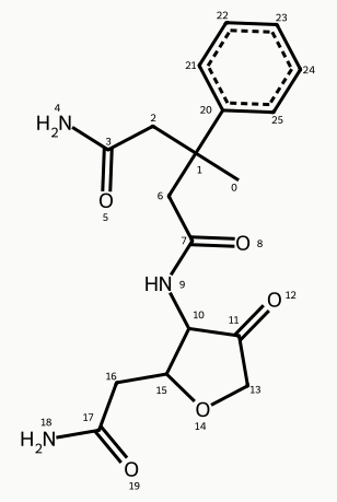 CC(CC(N)=O)(CC(=O)NC1C(=O)COC1CC(N)=O)c1ccccc1